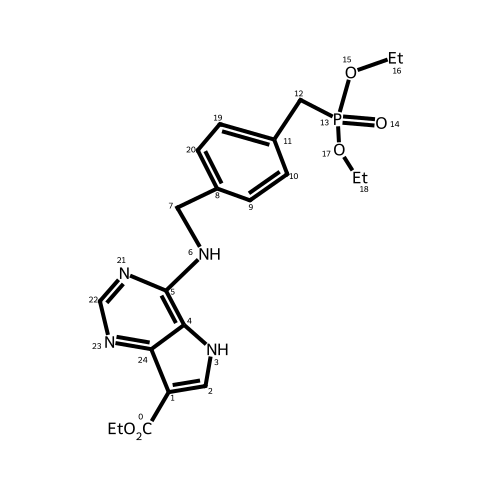 CCOC(=O)c1c[nH]c2c(NCc3ccc(CP(=O)(OCC)OCC)cc3)ncnc12